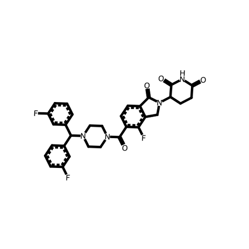 O=C1CCC(N2Cc3c(ccc(C(=O)N4CCN(C(c5cccc(F)c5)c5cccc(F)c5)CC4)c3F)C2=O)C(=O)N1